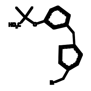 CC(C)(Oc1cccc(Cc2ccc(CBr)cc2)c1)C(=O)O